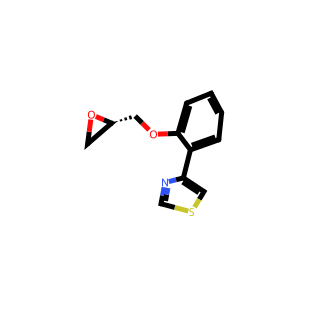 c1ccc(-c2cscn2)c(OC[C@@H]2CO2)c1